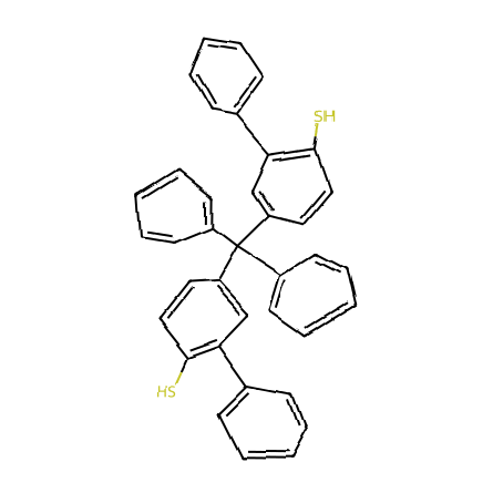 Sc1ccc(C(c2ccccc2)(c2ccccc2)c2ccc(S)c(-c3ccccc3)c2)cc1-c1ccccc1